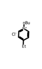 CCCC[n+]1ccc(CC)cc1.[Cl-]